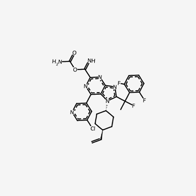 C=C[C@H]1CC[C@H](n2c(C(C)(F)c3c(F)cccc3F)nc3nc(C(=N)OC(N)=O)nc(-c4cncc(Cl)c4)c32)CC1